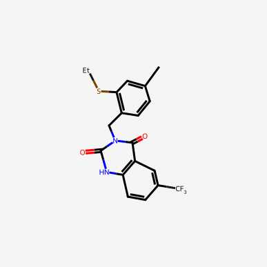 CCSc1cc(C)ccc1Cn1c(=O)[nH]c2ccc(C(F)(F)F)cc2c1=O